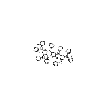 Cc1ccccc1N(c1cc2c3c(c1)N(c1ccccc1)c1cc4c(cc1B3c1ccccc1O2)B1c2ccccc2N(c2ccccc2)c2cc(N(c3ccccc3C)c3ccccc3C)cc(c21)N4c1ccccc1)c1ccccc1C